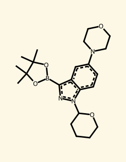 CC1(C)OB(c2nn(C3CCCCO3)c3ccc(N4CCOCC4)cc23)OC1(C)C